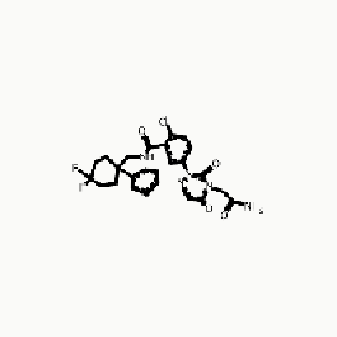 NC(=O)Cn1c(=O)cnn(-c2ccc(Cl)c(C(=O)NCC3(c4ccccc4)CCC(F)(F)CC3)c2)c1=O